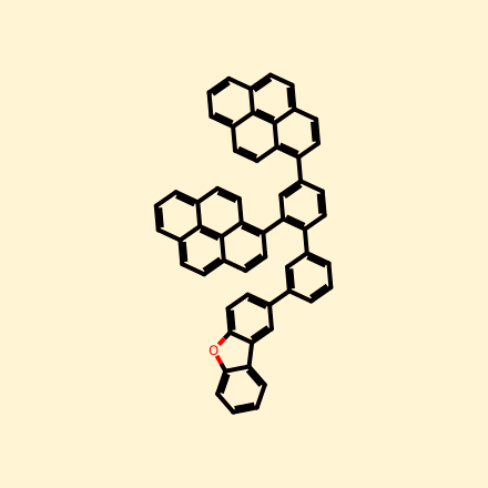 c1cc(-c2ccc3oc4ccccc4c3c2)cc(-c2ccc(-c3ccc4ccc5cccc6ccc3c4c56)cc2-c2ccc3ccc4cccc5ccc2c3c45)c1